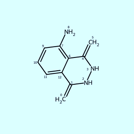 C=C1NNC(=C)c2c(N)cccc21